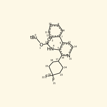 CC(C)(C)OC(=O)Nc1c(-c2ccccn2)ccnc1C1CCC(F)(F)CC1